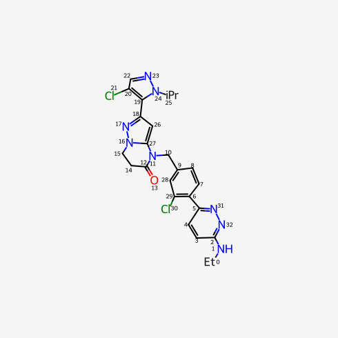 CCNc1ccc(-c2ccc(CN3C(=O)CCn4nc(-c5c(Cl)cnn5C(C)C)cc43)cc2Cl)nn1